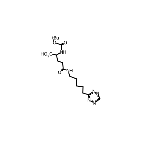 CC(C)(C)OC(=O)NC(CCC(=O)NCCCCCc1nncnn1)C(=O)O